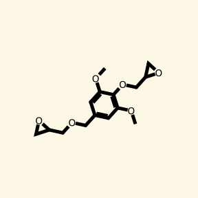 COc1cc(COCC2CO2)cc(OC)c1OCC1CO1